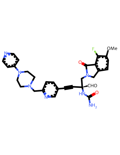 COc1ccc2c(c1F)C(=O)N(C[C@](C#Cc1ccc(CN3CCN(c4ccncc4)CC3)nc1)(C=O)NC(N)=O)C2